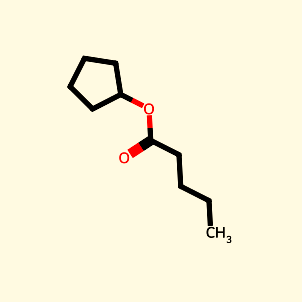 CCCCC(=O)OC1CCCC1